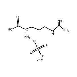 N=C(N)NCCC[C@H](N)C(=O)O.O=S(=O)([O-])[O-].[Zn+2]